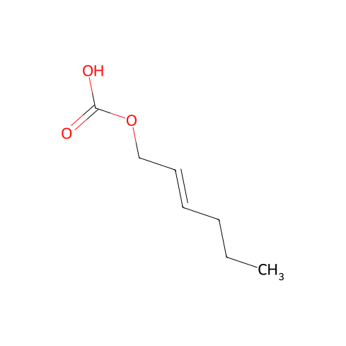 CCCC=CCOC(=O)O